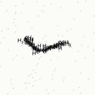 CN(C)CCNC(=O)c1ccc(-c2nc3cc(-c4ccc5[nH]c(-c6ccc(C(=O)NCCCCCNC(=O)c7ccc(-c8nc9cc(-c%10ccc%11[nH]c(-c%12ccc(C(=O)NCCN(C)C)cc%12)nc%11c%10)ccc9[nH]8)cc7)cc6)nc5c4)ccc3[nH]2)cc1